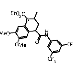 CCOC(=O)N1c2cc(OC)c(OC)cc2C(C(=O)Nc2cc(C(F)(F)F)cc(C(F)(F)F)c2)CC1C